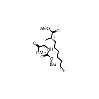 COC(=O)[C@@H](CCCCCC[18F])C[C@H](NC(=O)OC(C)(C)C)C(=O)OC